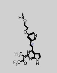 CN(C(=O)C(F)(F)F)c1nc(/C=C/c2cncc(OCCOPI)c2)c2cc[nH]c2n1